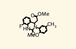 COC(=O)CC1c2cccc(F)c2NC(=O)N1c1cc(C)ccc1OC